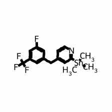 [CH3][Sn]([CH3])([CH3])[c]1cc(Cc2cc(F)cc(C(F)(F)F)c2)ccn1